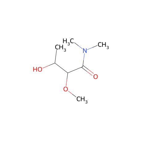 COC(C(=O)N(C)C)C(C)O